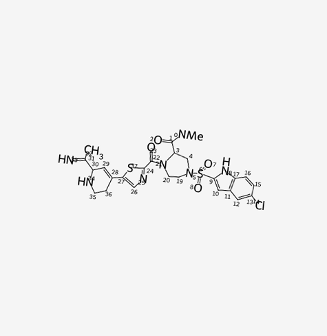 CNC(=O)C1CN(S(=O)(=O)c2cc3cc(Cl)ccc3[nH]2)CCN1C(=O)c1ncc(C2=CC(C(C)=N)NCC2)s1